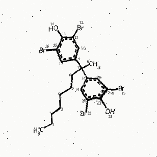 CCCCCCCC(C)(c1cc(Br)c(O)c(Br)c1)c1cc(Br)c(O)c(Br)c1